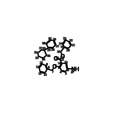 CNc1ccc(OCc2ccccc2)c(C(=O)OCc2ccccc2)c1.c1ccc(C2CCCCC2)cc1